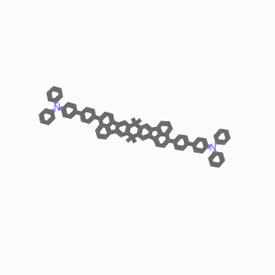 CC1(C)c2cc3c(cc2C(C)(C)c2cc4c(cc21)-c1ccc(-c2ccc(-c5ccc(N(c6ccccc6)c6ccccc6)cc5)cc2)c2cccc-4c12)-c1ccc(-c2ccc(-c4ccc(N(c5ccccc5)c5ccccc5)cc4)cc2)c2cccc-3c12